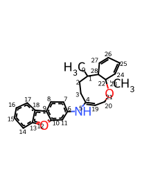 CC1CC/C(Nc2ccc3c(c2)oc2ccccc23)=C\CO[C@]2(C)C=CC=CC12